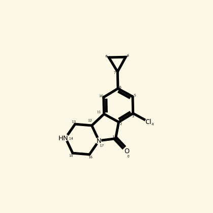 O=C1c2c(Cl)cc(C3CC3)cc2C2CNCCN12